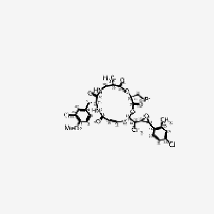 COc1ccc(C[C@H]2NC(=O)C=CC[C@@H]([C@H](C)C3OC3c3ccc(Cl)cc3C)OC(=O)[C@H](CC(C)C)OC(=O)[C@H](C)CNC2=O)cc1Cl